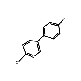 Fc1ccc(-c2ccc(Cl)nc2)cc1